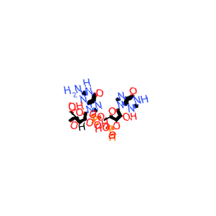 Nc1nc2c(ncn2[C@@H]2O[C@@]3(CO)CO[C@H]3[C@H]2OP(=O)(O)OC[C@H]2O[C@@H](n3cnc4c(=O)[nH]cnc43)[C@H](O)[C@@H]2O[PH](=O)O)c(=O)[nH]1